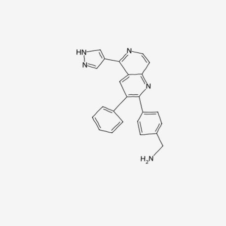 NCc1ccc(-c2nc3ccnc(-c4cn[nH]c4)c3cc2-c2ccccc2)cc1